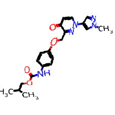 CC(C)COC(=O)Nc1ccc(OCc2nn(-c3cnn(C)c3)ccc2=O)cc1